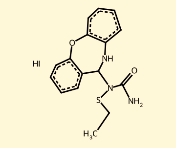 CCSN(C(N)=O)C1Nc2ccccc2Oc2ccccc21.I